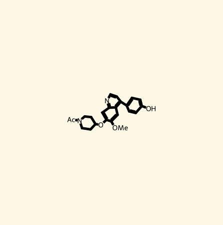 COc1cc2c(-c3ccc(O)cc3)ccnc2cc1OC1CCN(C(C)=O)CC1